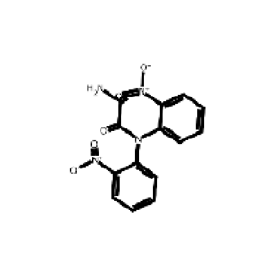 NC(=O)C(=O)N(c1ccccc1[N+](=O)[O-])c1ccccc1[N+](=O)[O-]